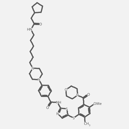 COc1cc(C)c(Sc2cnc(NC(=O)c3ccc(N4CCN(CCCCCCNC(=O)CC5CCCC5)CC4)cc3)s2)cc1C(=O)N1CCOCC1